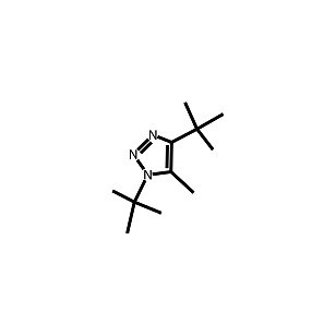 Cc1c(C(C)(C)C)nnn1C(C)(C)C